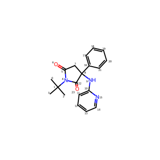 CC(C)(C)N1C(=O)CC(Nc2ccccn2)(c2ccccc2)C1=O